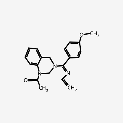 C=C/N=C(/c1ccc(OC)cc1)N1Cc2ccccc2N(C(C)=O)C1